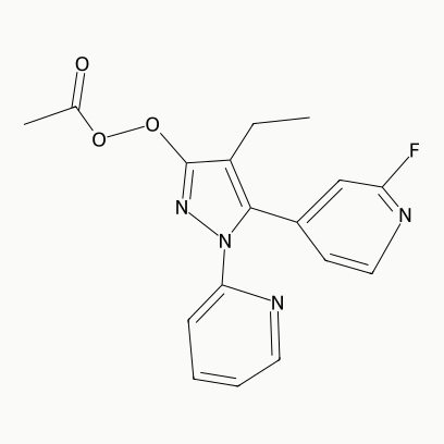 CCc1c(OOC(C)=O)nn(-c2ccccn2)c1-c1ccnc(F)c1